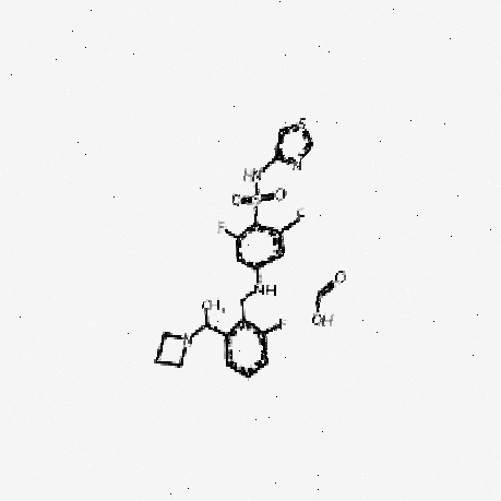 CC(c1cccc(F)c1CNc1cc(F)c(S(=O)(=O)Nc2cscn2)c(F)c1)N1CCC1.O=CO